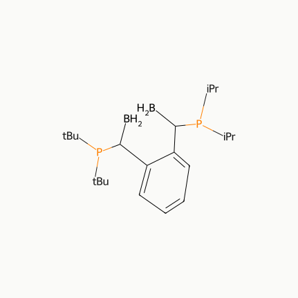 BC(c1ccccc1C(B)P(C(C)(C)C)C(C)(C)C)P(C(C)C)C(C)C